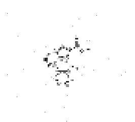 COC(=O)c1cc2cccc(-c3ccccc3OC)c2s1